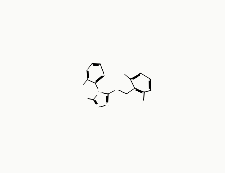 Oc1nnc(SCc2c(F)cccc2Cl)n1-c1ccccc1C(F)(F)F